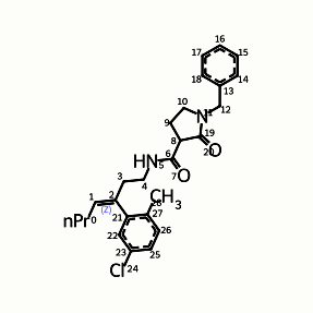 CCC/C=C(/CCNC(=O)C1CCN(Cc2ccccc2)C1=O)c1cc(Cl)ccc1C